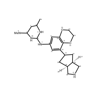 CNC1CC(C)NC(Nc2cc3c(c(C4C[C@H]5CNC[C@H]5C4)c2)OCCO3)N1